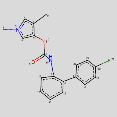 Cc1cn(C)cc1OC(=O)Nc1ccccc1-c1ccc(F)cc1